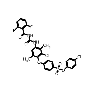 Cc1cc(NC(=O)NC(=O)c2c(F)cccc2F)c(C)c(Cl)c1Oc1ccc(S(=O)(=O)Oc2ccc(Cl)cc2)cc1